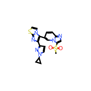 CS(=O)(=O)c1cnc2ccc(-c3c(-c4ccn(C5CC5)n4)nc4sccn34)cn12